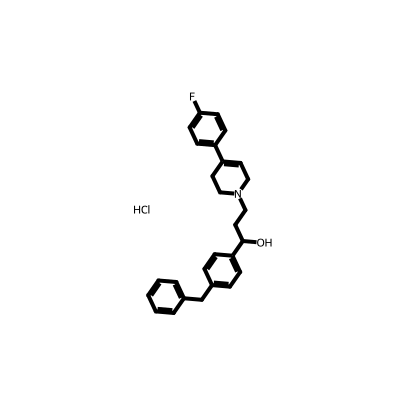 Cl.OC(CCN1CC=C(c2ccc(F)cc2)CC1)c1ccc(Cc2ccccc2)cc1